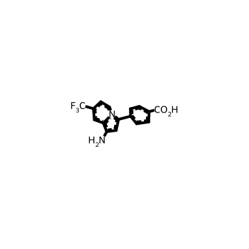 Nc1cc(-c2ccc(C(=O)O)cc2)n2ccc(C(F)(F)F)cc12